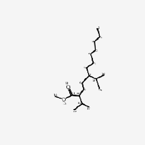 CCCCCCCC(CCC(C(=O)OC)C(C)C)C(C)C